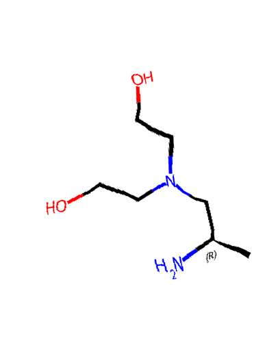 C[C@@H](N)CN(CCO)CCO